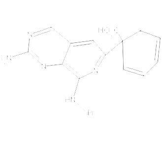 CC(C)Nc1nc(C2(C(=O)O)C=CC=CC2)cc2cnc(N)nc12